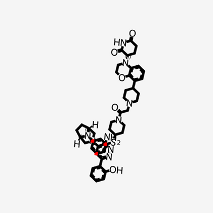 Nc1nnc(-c2ccccc2O)cc1N1C[C@H]2CC[C@@H](C1)N2c1cccc(SC2CCN(C(=O)CN3CCC(c4cccc5c4OCCN5[C@H]4CCC(=O)NC4=O)CC3)CC2)c1